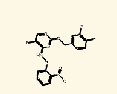 O=[N+]([O-])c1ccccc1SNc1nc(OCc2ccc(F)c(F)c2)ncc1F